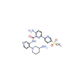 CS(=O)(=O)c1ccc(-c2ccc(N)c(C(=O)Nc3cnccc3N3CCC[C@H](N)C3)n2)nc1